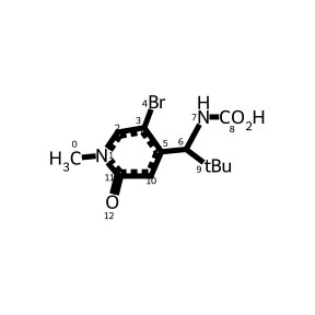 Cn1cc(Br)c(C(NC(=O)O)C(C)(C)C)cc1=O